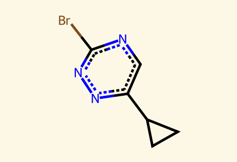 Brc1ncc(C2CC2)nn1